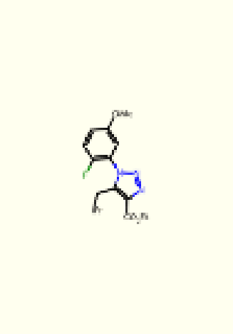 CCOC(=O)c1nnn(-c2cc(OC)ccc2F)c1CC(C)C